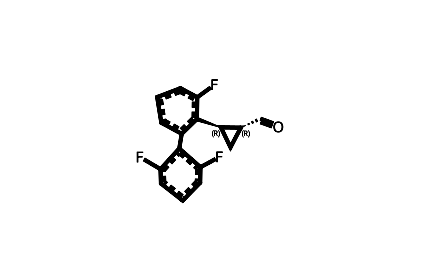 O=C[C@@H]1C[C@H]1c1c(F)cccc1-c1c(F)cccc1F